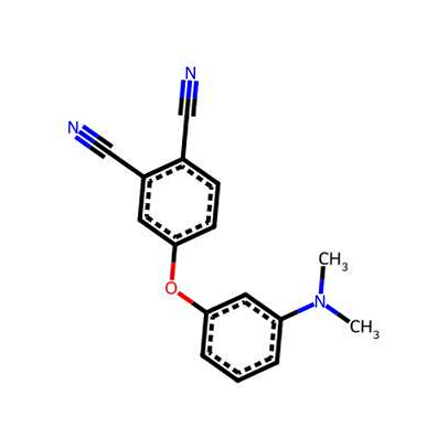 CN(C)c1cccc(Oc2ccc(C#N)c(C#N)c2)c1